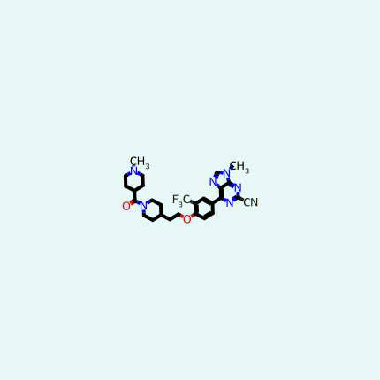 CN1CCC(C(=O)N2CCC(CCOc3ccc(-c4nc(C#N)nc5c4ncn5C)cc3C(F)(F)F)CC2)CC1